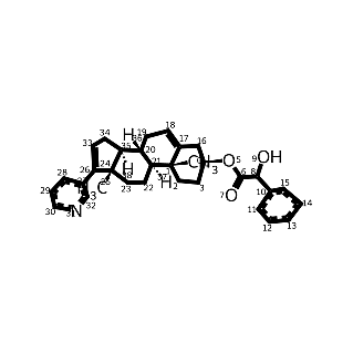 C[C@]12CC[C@H](OC(=O)C(O)c3ccccc3)CC1=CC[C@@H]1[C@@H]2CC[C@]2(C)C(c3cccnc3)=CC[C@@H]12